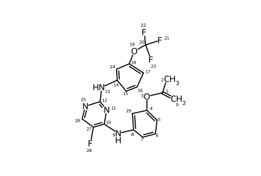 C=C(C)Oc1cccc(Nc2nc(Nc3cccc(OC(F)(F)F)c3)ncc2F)c1